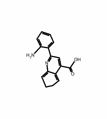 Nc1ccccc1-c1cc(C(=O)O)c2c(n1)=CCCC=2